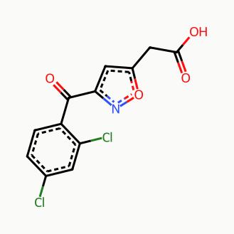 O=C(O)Cc1cc(C(=O)c2ccc(Cl)cc2Cl)no1